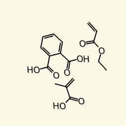 C=C(C)C(=O)O.C=CC(=O)OCC.O=C(O)c1ccccc1C(=O)O